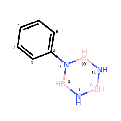 B1NBN(c2ccccc2)BN1